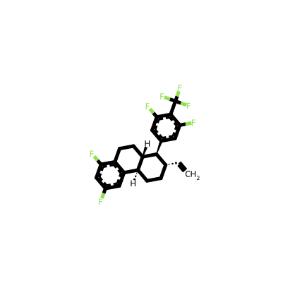 C=C[C@@H]1CC[C@H]2c3cc(F)cc(F)c3CC[C@@H]2[C@H]1c1cc(F)c(C(F)(F)F)c(F)c1